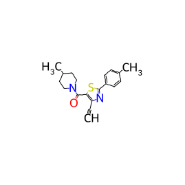 C#Cc1nc(-c2ccc(C)cc2)sc1C(=O)N1CCC(C)CC1